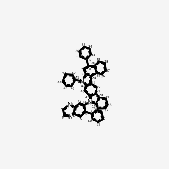 c1ccc(-c2cc3nccnc3cc2-n2c3ccccc3c3cc4c5c6ccccc6c(-c6ccccc6)cc5n(-c5ccccc5)c4cc32)cc1